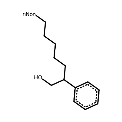 CCCCCCCCCCCCCCC(CO)c1ccccc1